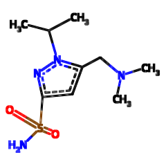 CC(C)n1nc(S(N)(=O)=O)cc1CN(C)C